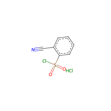 Cl.N#Cc1ccccc1S(=O)(=O)Cl